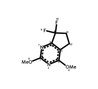 COc1nc(OC)c2c(n1)C(F)(F)CC2